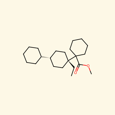 CC[C@]1(C2(C(=O)OC)CCCCC2)CC[C@@H](C2CCCCC2)CC1